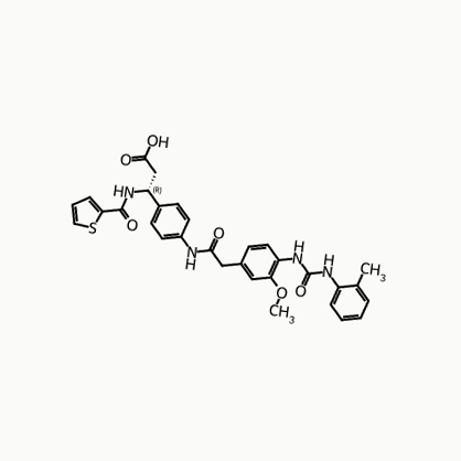 COc1cc(CC(=O)Nc2ccc([C@@H](CC(=O)O)NC(=O)c3cccs3)cc2)ccc1NC(=O)Nc1ccccc1C